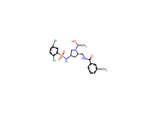 CB(O)N1C[C@H](NS(=O)(=O)c2cc(Br)ccc2Br)C[C@@H]1CNC(=O)c1cccc(C)c1